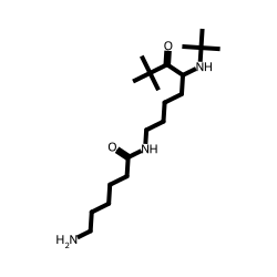 CC(C)(C)NC(CCCCNC(=O)CCCCCN)C(=O)C(C)(C)C